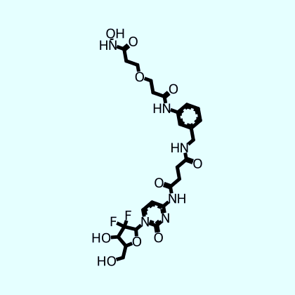 O=C(CCOCCC(=O)Nc1cccc(CNC(=O)CCC(=O)Nc2ccn(C3OC(CO)C(O)C3(F)F)c(=O)n2)c1)NO